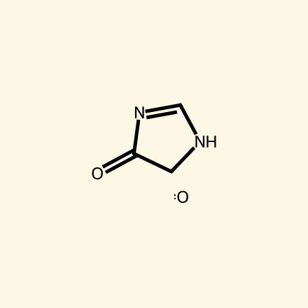 O=C1CNC=N1.[O]